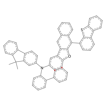 CC1(C)c2ccccc2-c2ccc(N(c3ccc4oc5c(-c6cccc7c6sc6ccccc67)c6ccccc6cc5c4c3)c3ccccc3-c3ccccc3)cc21